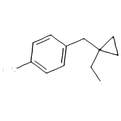 CC(C)CC1(Cc2ccc(N)cc2)CC1